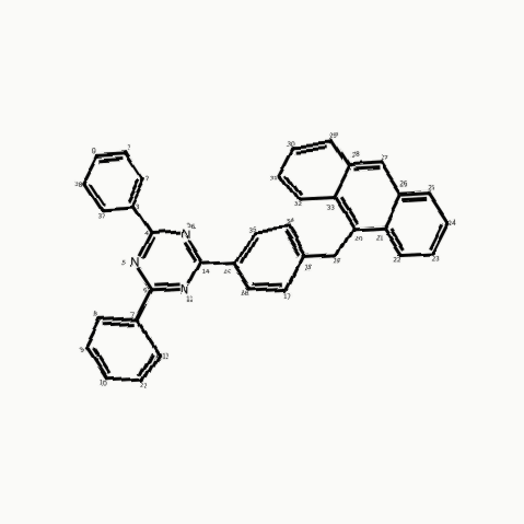 c1ccc(-c2nc(-c3ccccc3)nc(-c3ccc(Cc4c5ccccc5cc5ccccc45)cc3)n2)cc1